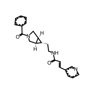 O=C(/C=C/c1cccnc1)NCC[C@@H]1[C@H]2CN(C(=O)c3ccccc3)C[C@@H]12